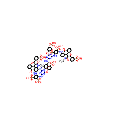 Cn1c(=O)c(C(=O)c2cccc(S(=O)(=O)O)c2)c2c3c(c(Nc4cc(Nc5nc(NCc6cccc(CNc7nc(Nc8cc(Nc9ccc%10c%11c9C(=O)c9ccccc9-c%11c(C(=O)c9cccc(S(=O)(=O)O)c9)c(=O)n%10C)c(S(=O)(=O)O)cc8S(=O)(=O)O)nc(Oc8ccc(S(=O)(=O)O)cc8)n7)c6)nc(Oc6ccc(S(=O)(=O)O)cc6)n5)c(S(=O)(=O)O)cc4S(=O)(=O)O)ccc31)C(=O)c1ccccc1-2